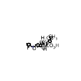 C=S(C)(=O)c1cccc(C[C@H](NC(=O)c2c(Cl)cc3c(c2Cl)CCN(C(=O)/C=C/c2ccccc2F)C3)C(=O)O)c1